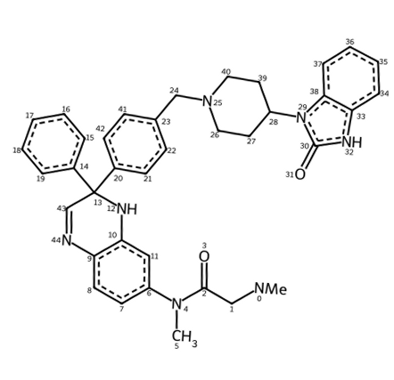 CNCC(=O)N(C)c1ccc2c(c1)NC(c1ccccc1)(c1ccc(CN3CCC(n4c(=O)[nH]c5ccccc54)CC3)cc1)C=N2